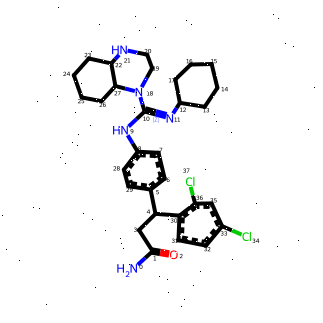 NC(=O)CC(c1ccc(N/C(=N/C2CCCCC2)N2CCNC3CCCCC32)cc1)c1ccc(Cl)cc1Cl